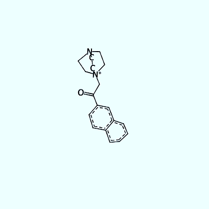 O=C(C[N+]12CCN(CC1)CC2)c1ccc2ccccc2c1